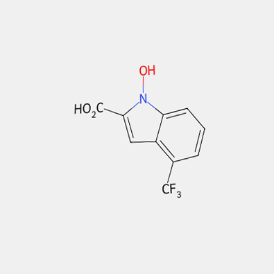 O=C(O)c1cc2c(C(F)(F)F)cccc2n1O